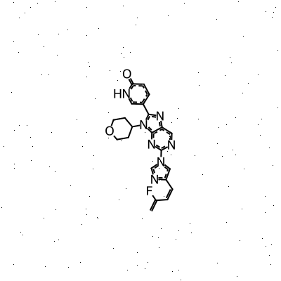 C=C(F)/C=C\c1cn(-c2ncc3nc(-c4ccc(=O)[nH]c4)n(C4CCOCC4)c3n2)cn1